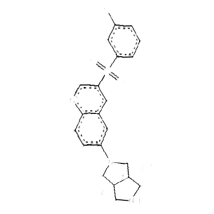 O=S(=O)(c1cccc(C(F)(F)F)c1)c1cnc2ccc(N3C[C@H]4CNC[C@H]4C3)cc2c1